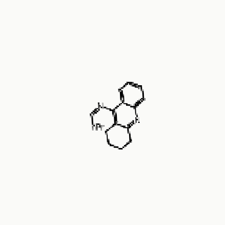 CCC/C=N\c1c2c(nc3ccccc13)CCCC2